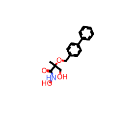 CC(CO)(OCc1ccc(-c2ccccc2)cc1)C(=O)NO